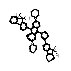 CC1(C)C2=C(CCC=C2)c2ccc(-c3cccc(-c4c5ccc(N6CCCCC6)cc5c(-c5ccc6c(c5)C(C)(C)c5ccccc5-6)c5ccc(N6CCCCC6)cc45)c3)cc21